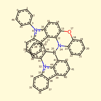 c1ccc(-n2c3ccccc3c3c4c(ccc32)Oc2ccccc2N4B2c3ccccc3-n3c4ccccc4c4cccc2c43)cc1